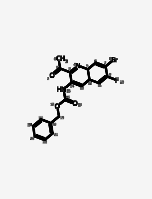 CC(=O)C1=NC2C=C(Br)C(F)=CC2C=C1NC(=O)OCc1ccccc1